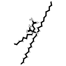 CCCCCCCCCCCCN(CCCCCCCCCCCC)[C@@](CCCCCCCC)(CCC(=O)O)C(=O)O